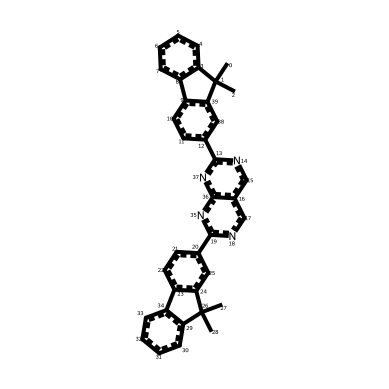 CC1(C)c2ccccc2-c2ccc(-c3ncc4cnc(-c5ccc6c(c5)C(C)(C)c5ccccc5-6)nc4n3)cc21